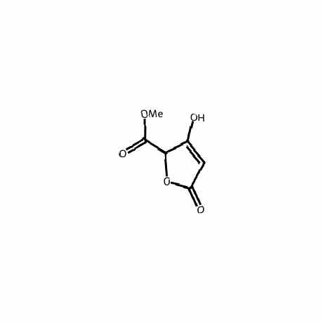 COC(=O)C1OC(=O)C=C1O